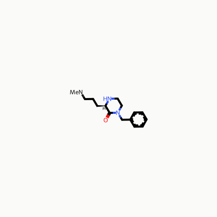 CNCCC[C@H]1NCCN(Cc2ccccc2)C1=O